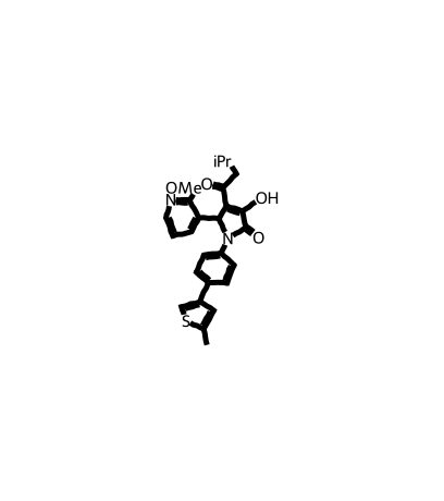 COc1ncccc1C1C(C(=O)CC(C)C)=C(O)C(=O)N1c1ccc(-c2csc(C)c2)cc1